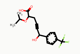 CC(C)OC(CC#CC(O)c1ccc(C(F)(F)F)cc1)C(=O)O